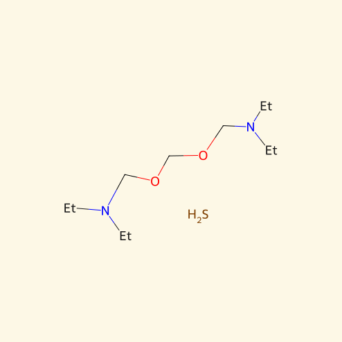 CCN(CC)COCOCN(CC)CC.S